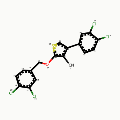 N#Cc1c(-c2ccc(Cl)c(Cl)c2)csc1OCc1ccc(Cl)c(Cl)c1